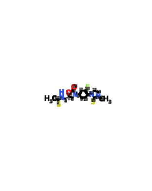 CC(=S)NC[C@H]1CN(c2ccc(N3CCN(C)C3=S)c(F)c2)C(=O)O1